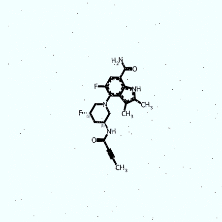 CC#CC(=O)N[C@H]1C[C@H](F)CN(c2c(F)cc(C(N)=O)c3[nH]c(C)c(C)c23)C1